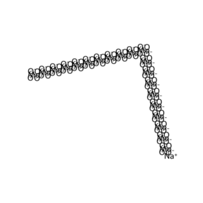 [Na+].[O]=[Mo](=[O])([O-])[O-].[O]=[Mo](=[O])([O-])[O-].[O]=[Mo](=[O])([O-])[O-].[O]=[Mo](=[O])([O-])[O-].[O]=[Mo](=[O])([O-])[O-].[O]=[Mo](=[O])([O-])[O-].[O]=[Mo](=[O])([O-])[O-].[O]=[Mo](=[O])([O-])[O-].[O]=[Mo](=[O])([O-])[O-].[O]=[Mo](=[O])([O-])[O-].[O]=[Mo](=[O])([O-])[O-].[O]=[Mo](=[O])([O-])[O-].[O]=[Mo](=[O])([O-])[O-].[O]=[Mo](=[O])([O-])[O-].[O]=[Mo](=[O])([O-])[O-].[O]=[Mo](=[O])([O-])[O-].[O]=[Mo](=[O])([O-])[O-].[O]=[Mo](=[O])([O-])[O-].[O]=[Mo](=[O])([O-])[O-].[O]=[Mo](=[O])([O-])[O-]